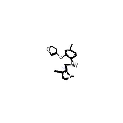 C=c1ccn(C)/c1=C\Nc1ccc(C)cc1OC1=COCC1